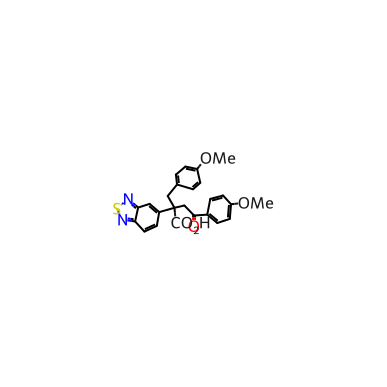 COc1ccc(CC(CC(=O)c2ccc(OC)cc2)(C(=O)O)c2ccc3nsnc3c2)cc1